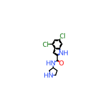 O=C(NC1CCNC1)c1cc2c(Cl)cc(Cl)cc2[nH]1